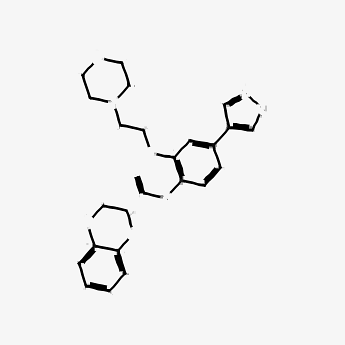 O=C(Nc1ccc(-c2cn[nH]c2)cc1OCCN1CCOCC1)[C@H]1COc2ccccc2O1